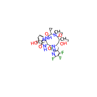 C[C@H]1NC(=O)C(C2CC2)N(C)C(=O)[C@H](C)[C@H](O)[C@H](Cc2c(F)nc(F)c(F)c2F)NC(=O)[C@H]1NC(=O)c1ncccc1O